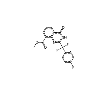 COC(=O)c1cccc2c(=O)[nH]c(C(F)(F)c3ccc(F)cn3)nc12